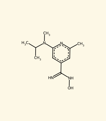 Cc1cc(C(=N)NO)cc(N(C)C(C)C)n1